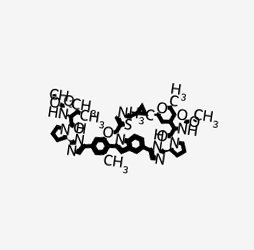 COC(=O)NC(C(=O)N1CCC[C@H]1c1ncc(-c2ccc3c(c2)cc2n3C(c3cnc(C4CC4)s3)Oc3cc(-c4cnc([C@@H]5CCCN5C(=O)[C@@H](NC(=O)OC)C(C)C)[nH]4)cc(C)c3-2)[nH]1)C1C[C@@H](C)O[C@H](C)C1